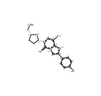 O=c1n([C@@H]2CC[C@H](CO)O2)cc(F)c2nc(-c3ccc(F)cc3)cn12